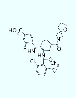 N=C(C1=C(NC(=O)c2c(Cl)cccc2C2(C(F)(F)F)CC2)CC(C(=O)N2CC3(CCCO3)C2)CC1)c1ccc(C(=O)O)cc1F